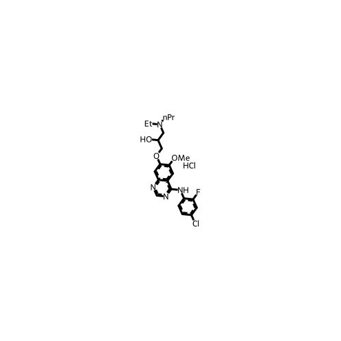 CCCN(CC)CC(O)COc1cc2ncnc(Nc3ccc(Cl)cc3F)c2cc1OC.Cl